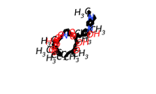 CCCn1ccc2cc(N(C)C3CCC(C=C(C)C4OC(=O)C5CCCCN5C(=O)C(=O)C5(O)OC(C(OC)CC(C)C/C(C)=C/C(CC)C(=O)CC(O)C4C)C(OC)CC5C)CC3O)ccc21